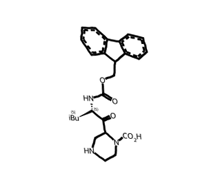 CC[C@H](C)[C@H](NC(=O)OCC1c2ccccc2-c2ccccc21)C(=O)C1CNCCN1C(=O)O